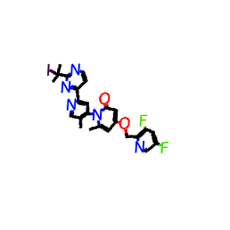 Cc1cnc(-c2ccnc(C(C)(C)I)n2)cc1-n1c(C)cc(OCc2ncc(F)cc2F)cc1=O